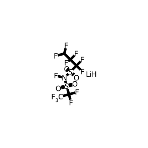 O=S(=O)(N(F)S(=O)(=O)C(F)(F)C(F)(F)C(F)F)C(F)(F)C(F)(F)F.[LiH]